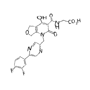 O=C(O)CNC(=O)c1c(O)c2c(n(Cc3cnc(-c4ccc(F)c(F)c4)cn3)c1=O)COC2